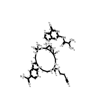 CC(C)C(=O)Nc1nc2c(ncn2[C@@H]2O[C@@H]3COP(=S)(OCCC#N)OCCn4c(nc5cc(C(N)=O)cnc54)COP(=O)(S)O[C@@H]2[C@@H]3F)c(=O)[nH]1